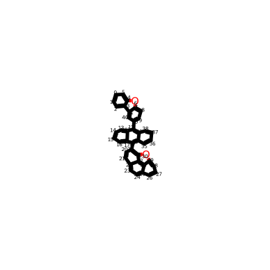 c1ccc2c(c1)oc1ccc(-c3c4ccccc4c(-c4ccc5ccc6cccc7oc4c5c67)c4ccccc34)cc12